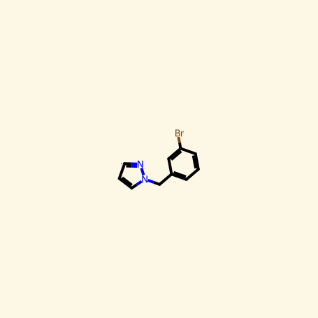 Brc1cccc(Cn2cc[c]n2)c1